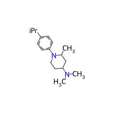 CC(C)c1ccc(N2CCC(N(C)C)CC2C)cc1